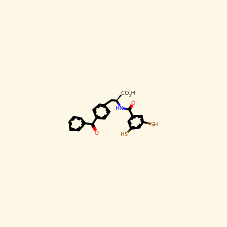 O=C(N[C@@H](Cc1ccc(C(=O)c2ccccc2)cc1)C(=O)O)c1cc(S)cc(S)c1